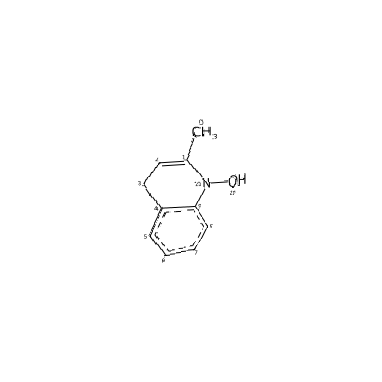 CC1=C[CH]c2ccccc2N1O